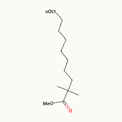 CCCCCCCCCCCCCCCC(C)(C)C(=O)OC